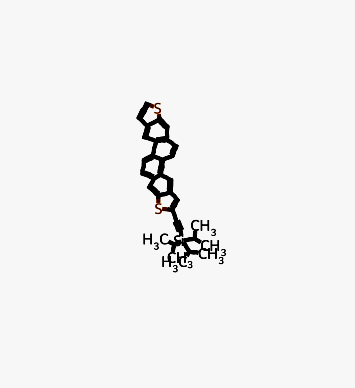 CC(C)[Si](C#Cc1cc2cc3c(ccc4c5cc6ccsc6cc5ccc34)cc2s1)(C(C)C)C(C)C